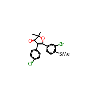 CSc1ccc(C2=C(c3ccc(Cl)cc3)C(=O)C(C)(C)O2)cc1Br